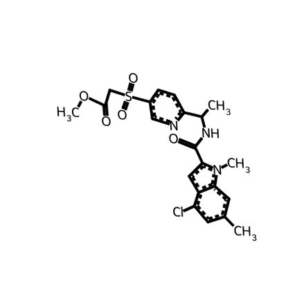 COC(=O)CS(=O)(=O)c1ccc(C(C)NC(=O)c2cc3c(Cl)cc(C)cc3n2C)nc1